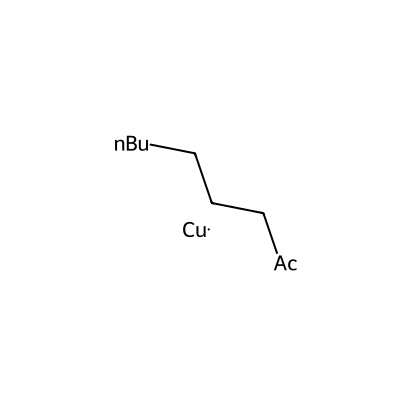 CCCCCCCC(C)=O.[Cu]